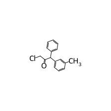 Cc1cccc(C(C(=O)CCl)c2ccccc2)c1